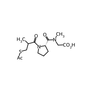 CC(=O)SCC(C)C(=O)N1CCC[C@H]1C(=O)N(C)CC(=O)O